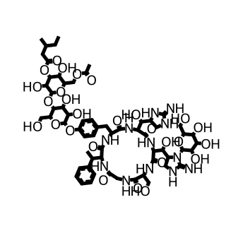 CCC(C)CC(=O)OC1C(O)C(COC(C)=O)OC(OC2C(CO)OC(Oc3ccc(CC4NC(=O)C(C(C)c5ccccc5)NC(=O)CNC(=O)C(CO)NC(=O)C(C(O)C5CNC(=N)N5C5OC(CO)C(O)C(O)C5O)NC(=O)C(C(O)C5CNC(=N)N5)NC4=O)cc3)C(O)C2O)C1O